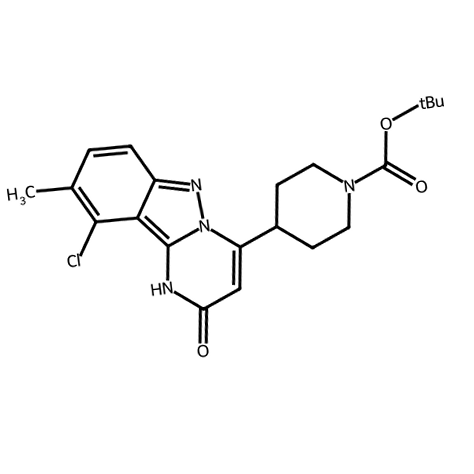 Cc1ccc2nn3c(C4CCN(C(=O)OC(C)(C)C)CC4)cc(=O)[nH]c3c2c1Cl